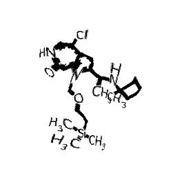 CC(NC1(C)CCC1)c1cc2c(Cl)c[nH]c(=O)c2n1COCC[Si](C)(C)C